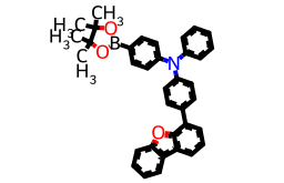 CC1(C)OB(c2ccc(N(c3ccccc3)c3ccc(-c4cccc5c4oc4ccccc45)cc3)cc2)OC1(C)C